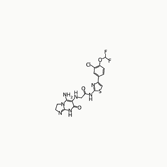 NC1=C(NCC(=O)Nc2nc(-c3ccc(OC(F)F)c(Cl)c3)cs2)C(=O)NC2=NCCN21